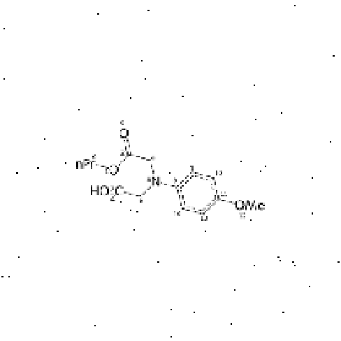 CCCOC(=O)CN(CC(=O)O)c1ccc(OC)cc1